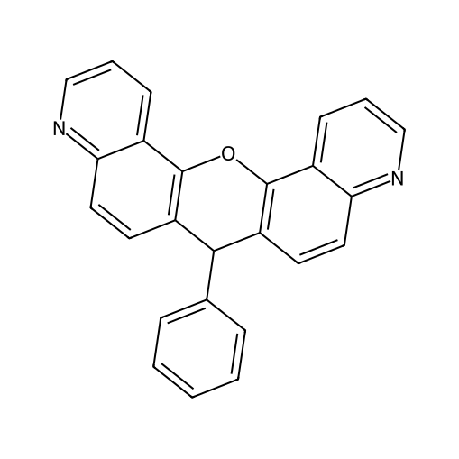 c1ccc(C2c3ccc4ncccc4c3Oc3c2ccc2ncccc32)cc1